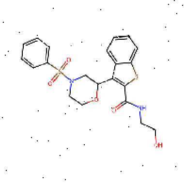 O=C(NCCO)c1sc2ccccc2c1C1CN(S(=O)(=O)c2ccccc2)CCO1